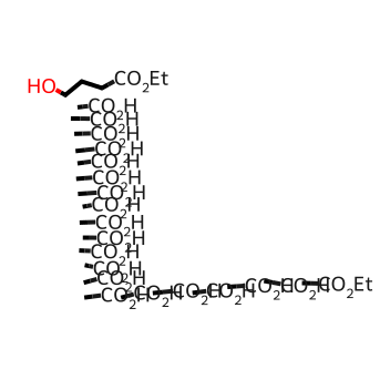 CC(=O)O.CC(=O)O.CC(=O)O.CC(=O)O.CC(=O)O.CC(=O)O.CC(=O)O.CC(=O)O.CC(=O)O.CC(=O)O.CC(=O)O.CC(=O)O.CC(=O)O.CC(=O)O.CC(=O)O.CC(=O)O.CC(=O)O.CC(=O)O.CC(=O)O.CCOC(=O)CCCO.CCOC(C)=O